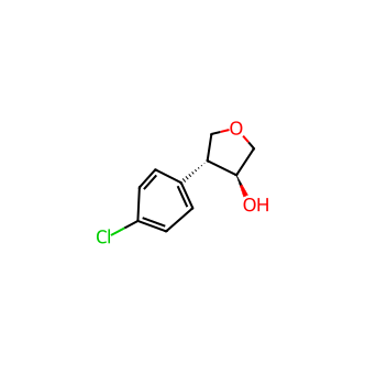 O[C@@H]1COC[C@H]1c1ccc(Cl)cc1